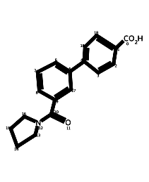 O=C(O)c1ccc(-c2cccc(C(=O)N3CCCC3)c2)cc1